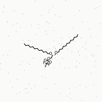 CCCCCCCCCCCCOC[C@H](COS(=O)(=O)C(F)(F)F)OCCCCCCCCCCCC